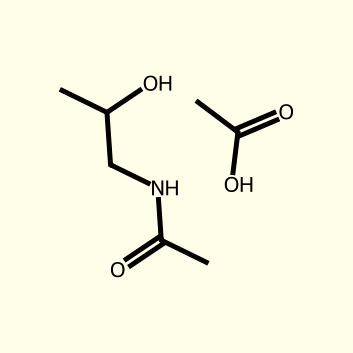 CC(=O)NCC(C)O.CC(=O)O